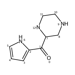 O=C(c1ccc[nH]1)C1CNCC[N]1